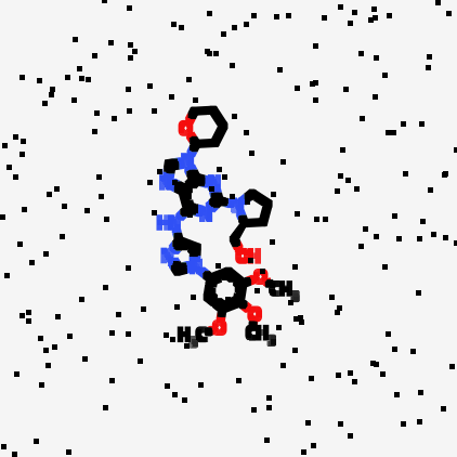 COc1cc(-n2cnc(Nc3nc(N4CCC[C@H]4CO)nc4c3ncn4C3CCCCO3)c2)cc(OC)c1OC